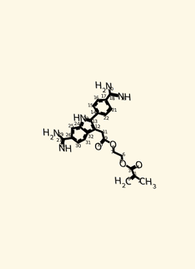 C=C(C)C(=O)OCCOC(=O)Cc1c(-c2ccc(C(=N)N)cc2)[nH]c2cc(C(=N)N)ccc12